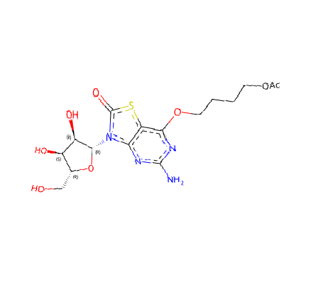 CC(=O)OCCCCOc1nc(N)nc2c1sc(=O)n2[C@@H]1O[C@H](CO)[C@@H](O)[C@H]1O